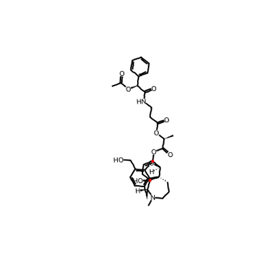 CC(=O)O[C@H](C(=O)NCCC(=O)O[C@@H](C)C(=O)OC1=CC[C@@]2(O)[C@H]3Cc4ccc(CO)c5c4[C@@]2(CCCN3C)[C@H]1O5)c1ccccc1